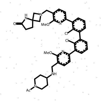 COc1nc(-c2cccc(-c3cccc(-c4ccc(CN5CC6(CCC(=O)N6)C5)c(OC)n4)c3Cl)c2Cl)ccc1CNC1CCN(C(C)=O)CC1